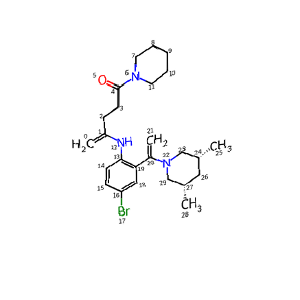 C=C(CCC(=O)N1CCCCC1)Nc1ccc(Br)cc1C(=C)N1C[C@H](C)C[C@H](C)C1